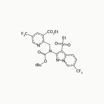 CCOC(=O)c1cc(C(F)(F)F)cnc1CN(C(=O)OC(C)(C)C)c1nn2cc(C(F)(F)F)ccc2c1S(=O)(=O)CC